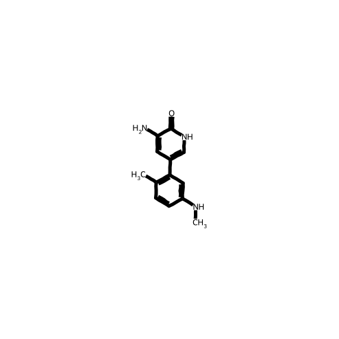 CNc1ccc(C)c(-c2c[nH]c(=O)c(N)c2)c1